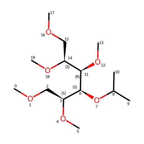 COC[C@H](OC)[C@H](OC(C)C)[C@H](OC)[C@H](COC)OC